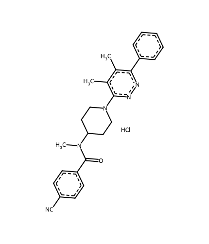 Cc1c(-c2ccccc2)nnc(N2CCC(N(C)C(=O)c3ccc(C#N)cc3)CC2)c1C.Cl